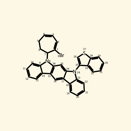 BrC1=CC=CCCC1n1c2ccccc2c2cc3c4ccccc4n(-c4csc5ccccc45)c3cc21